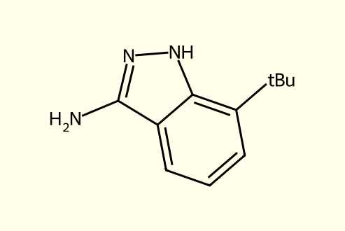 CC(C)(C)c1cccc2c(N)n[nH]c12